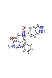 CCN1CN(c2ccccc2)C2(CCN(C(=O)c3ccc4[nH]ncc4c3)CC2)C1=O